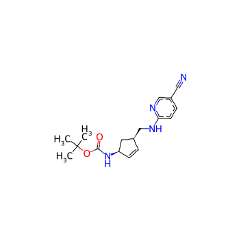 CC(C)(C)OC(=O)N[C@@H]1C=C[C@H](CNc2ccc(C#N)cn2)C1